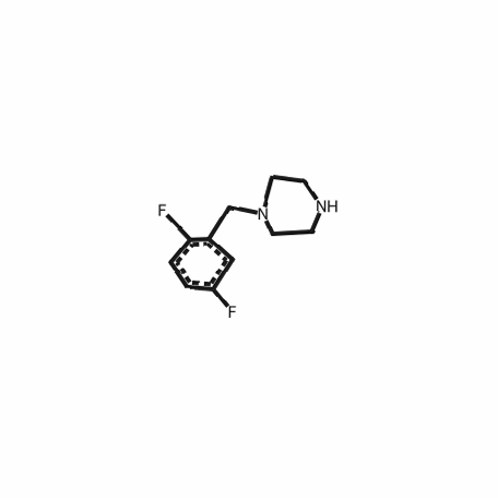 Fc1ccc(F)c(CN2CCNCC2)c1